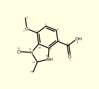 COc1ccc(C(=O)O)c2c1N(Cl)C(C)N2